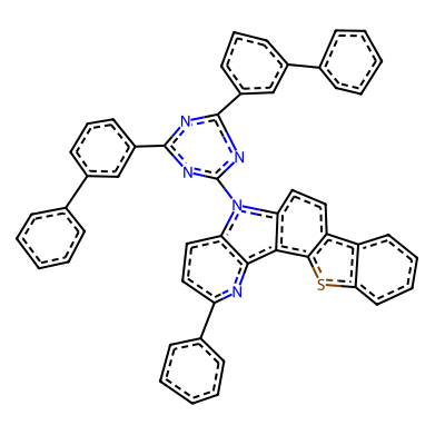 c1ccc(-c2cccc(-c3nc(-c4cccc(-c5ccccc5)c4)nc(-n4c5ccc(-c6ccccc6)nc5c5c6sc7ccccc7c6ccc54)n3)c2)cc1